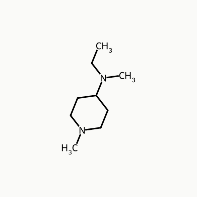 CCN(C)C1CCN(C)CC1